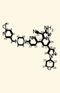 COc1ccc(CN2CCN(c3ccc(-c4cc(-c5cnn(C6CCOCC6)c5)cn5nc(N)c(C#N)c45)cn3)CC2)cn1